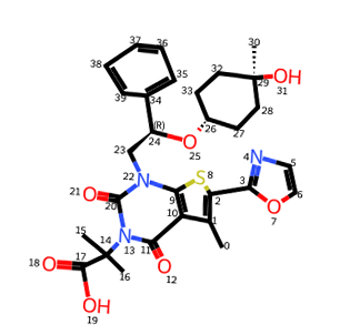 Cc1c(-c2ncco2)sc2c1c(=O)n(C(C)(C)C(=O)O)c(=O)n2C[C@H](O[C@H]1CC[C@](C)(O)CC1)c1ccccc1